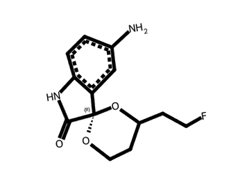 Nc1ccc2c(c1)[C@]1(OCCC(CCF)O1)C(=O)N2